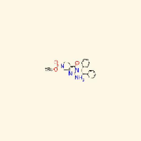 CC(c1ccccc1)C(c1ccccc1)n1c(N)nc2c(c1=O)CCN(C(=O)OC(C)(C)C)C2